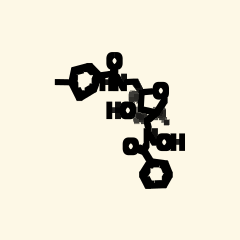 Cc1ccc(C(=O)NC[C@H]2OC[C@@](C)(CN(O)C(=O)c3ccccc3)[C@@H]2O)cc1